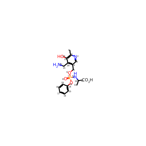 Cc1ncc(COP(=O)(NC(C)C(=O)O)Oc2ccccc2)c(CN)c1O